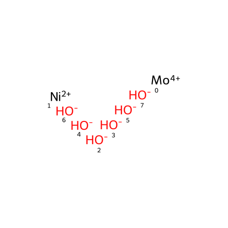 [Mo+4].[Ni+2].[OH-].[OH-].[OH-].[OH-].[OH-].[OH-]